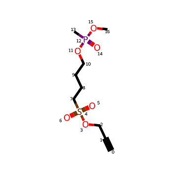 C#CCOS(=O)(=O)CCCCOP(C)(=O)OC